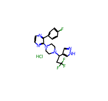 Cl.Fc1ccc(-c2nccnc2N2CCN(C(CC(F)(F)F)c3cn[nH]c3)CC2)cc1